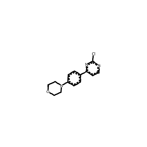 Clc1nccc(-c2ccc(N3CCOCC3)cc2)n1